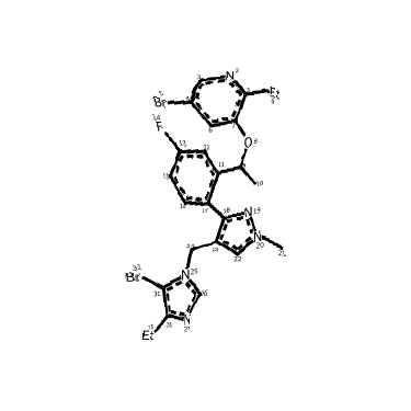 CCc1ncc(Br)cc1OC(C)c1cc(F)ccc1-c1nn(C)cc1Cn1cnc(CC)c1Br